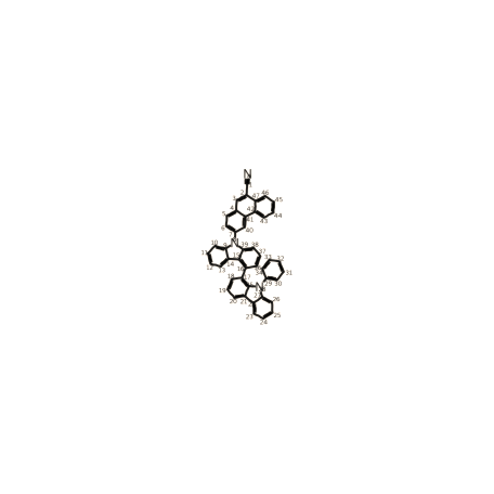 N#Cc1cc2ccc(-n3c4ccccc4c4c(-c5cccc6c7ccccc7n(-c7ccccc7)c56)cccc43)cc2c2ccccc12